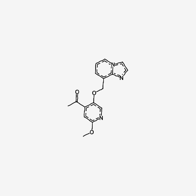 COc1cc(C(C)=O)c(OCc2cccn3ccnc23)cn1